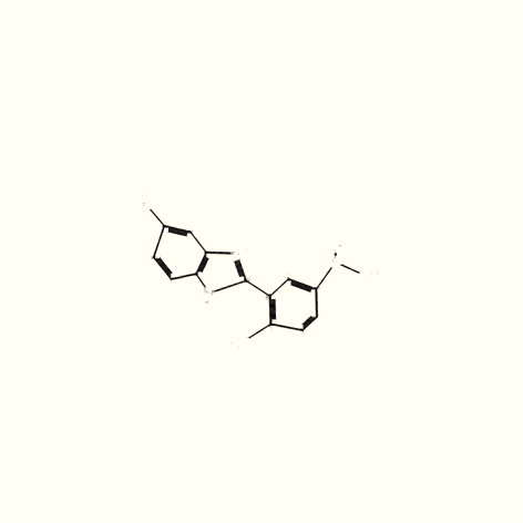 OB(O)c1ccc(C(F)(F)F)c(-c2nc3cc(F)ccc3[nH]2)c1